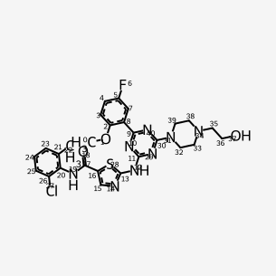 COc1ccc(F)cc1-c1nc(Nc2ncc(C(=O)Nc3c(C)cccc3Cl)s2)nc(N2CCN(CCO)CC2)n1